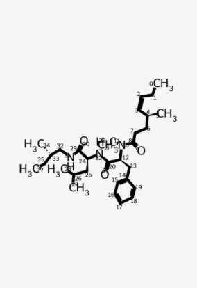 CC/C=C\[C@@H](C)CCC(=O)N(C)[C@@H](Cc1ccccc1)C(=O)N(C)[C@@H](CC(C)C)C(=O)NC[C@@H](C)CC